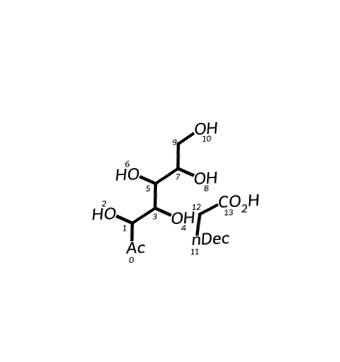 CC(=O)C(O)C(O)C(O)C(O)CO.CCCCCCCCCCCC(=O)O